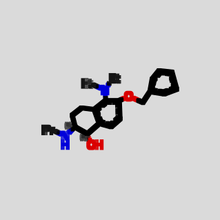 CCN(CC)c1c(OCc2ccccc2)ccc2c1CC[C@H](NC(C)C)[C@H]2O